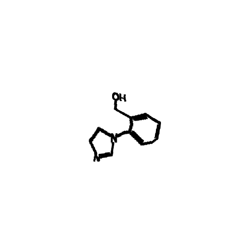 OCc1ccccc1N1C=NCC1